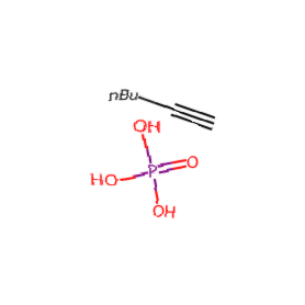 C#CCCCC.O=P(O)(O)O